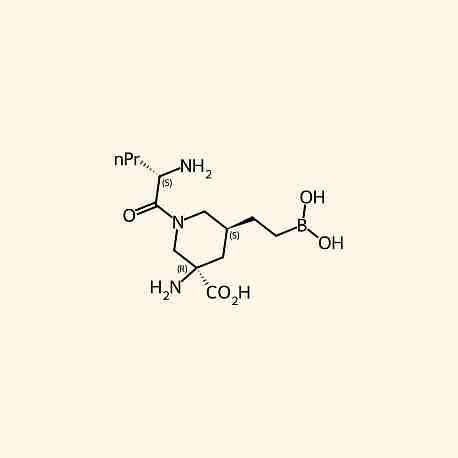 CCC[C@H](N)C(=O)N1C[C@@H](CCB(O)O)C[C@](N)(C(=O)O)C1